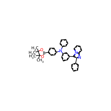 CC1(C)OB(c2ccc(N(c3ccccc3)c3cccc(-c4c(-c5ccccc5)nc5ccccn45)c3)cc2)OC1(C)C